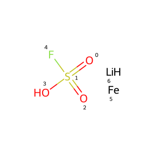 O=S(=O)(O)F.[Fe].[LiH]